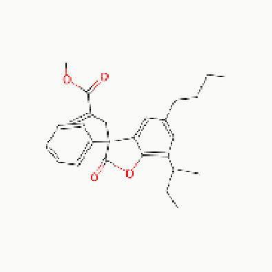 C=C(CC1(c2ccccc2)C(=O)Oc2c(C(C)CC)cc(CCCC)cc21)C(=O)OC